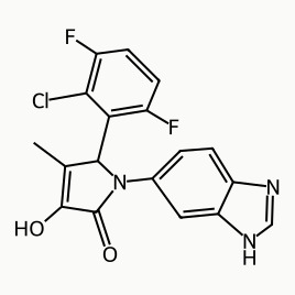 CC1=C(O)C(=O)N(c2ccc3nc[nH]c3c2)C1c1c(F)ccc(F)c1Cl